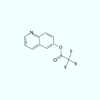 O=C(Oc1ccc2ncccc2c1)C(F)(F)F